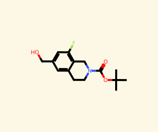 CC(C)(C)OC(=O)N1CCc2cc(CO)cc(F)c2C1